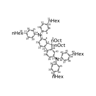 CCCCCCCCC1(CCCCCCCC)c2cc(N(c3ccc(CCCCCC)cc3)c3ccc(CCCCCC)cc3)ccc2-c2ccc(N(c3ccc(CCCCCC)cc3)c3ccc(CCCCCC)cc3)cc21